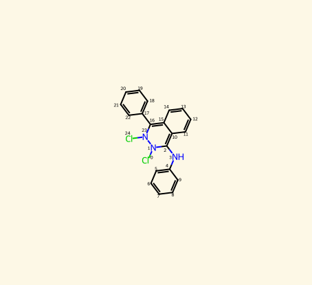 ClN1C(Nc2ccccc2)=c2ccccc2=C(c2ccccc2)N1Cl